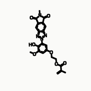 C=C(C)C(=O)OCCOc1cc(OC)c(O)c(-n2nc3cc4c(cc3n2)C(=O)N(C)C4=O)c1